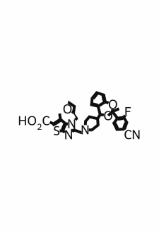 Cc1c(C(=O)O)sc2nc(CN3CCC(C4OC(C)(c5ccc(C#N)cc5F)Oc5ccccc54)CC3)n(C[C@@H]3CCO3)c12